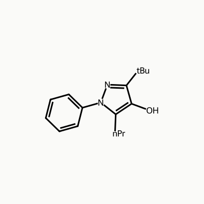 CCCc1c(O)c(C(C)(C)C)nn1-c1ccccc1